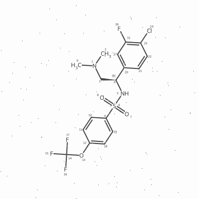 CN(C)C[C@H](NS(=O)(=O)c1ccc(OC(F)(F)F)cc1)c1ccc(Cl)c(F)c1